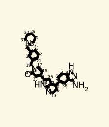 Nc1n[nH]c2ccc(-c3ccnc4[nH]c(-c5ccn(Cc6cccc(CN7CCCCC7)c6)c(=O)c5)cc34)cc12